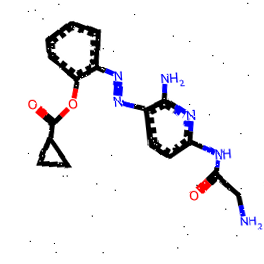 NCC(=O)Nc1ccc(/N=N/c2ccccc2OC(=O)C2CC2)c(N)n1